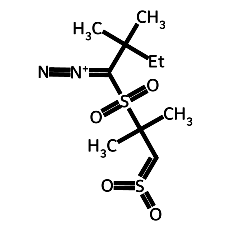 CCC(C)(C)C(=[N+]=[N-])S(=O)(=O)C(C)(C)C=S(=O)=O